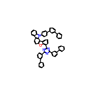 c1ccc(-c2cccc(-c3ccc(-n4c5ccccc5c5ccc6oc7c(-c8nc(-c9cccc(-c%10ccccc%10)c9)nc(-c9cccc(-c%10ccccc%10)c9)n8)cccc7c6c54)cc3)c2)cc1